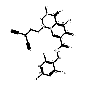 C#CC(C#C)CCN1CN(C)C(=O)c2c(O)c(=O)c(C(=O)NCc3c(F)cc(F)cc3F)cn21